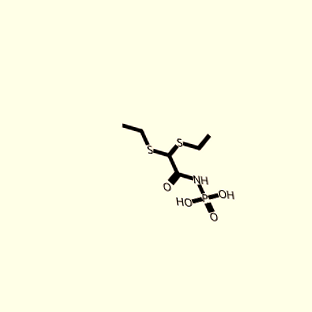 CCSC(SCC)C(=O)NP(=O)(O)O